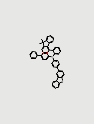 CC1(C)c2ccccc2-c2c(-c3ccccc3N(c3ccc(-c4ccccc4)cc3)c3ccc(-c4ccc5sc6ccccc6c5c4)cc3)cccc21